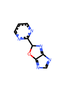 C1=NC2=NC(c3ncccn3)OC2=N1